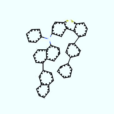 c1ccc(-c2ccc(-c3cccc4sc5ccc(N(c6ccccc6)c6cccc7c(-c8ccc9ccccc9c8)cccc67)cc5c34)cc2)cc1